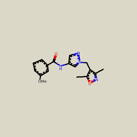 COc1cccc(C(=O)Nc2cnn(Cc3c(C)noc3C)c2)c1